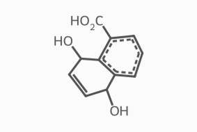 O=C(O)c1cccc2c1C(O)C=CC2O